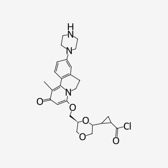 Cc1c2n(c(OC[C@@H]3COCC(C4CC4C(=O)Cl)O3)cc1=O)CCc1cc(N3CCNCC3)ccc1-2